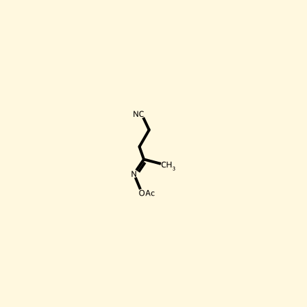 CC(=O)O/N=C(\C)CCC#N